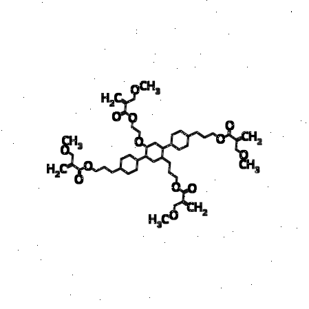 C=C(COC)C(=O)OCCCC1CCC(C2CC(OCCOC(=O)C(=C)COC)C(C3CCC(CCCOC(=O)C(=C)COC)CC3)CC2CCCOC(=O)C(=C)COC)CC1